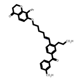 CCCc1c(OCCCC/C=C/c2ccc(C(=O)c3cccc(C(=O)O)c3)cc2CCC(=O)O)ccc2c1OCCC2=O